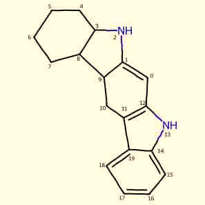 C1=C2NC3CCCCC3C2Cc2c1[nH]c1ccccc21